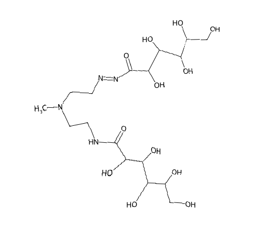 CN(CCN=NC(=O)C(O)C(O)C(O)C(O)CO)CCNC(=O)C(O)C(O)C(O)C(O)CO